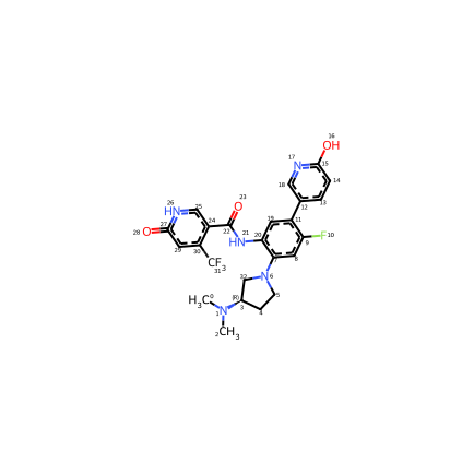 CN(C)[C@@H]1CCN(c2cc(F)c(-c3ccc(O)nc3)cc2NC(=O)c2c[nH]c(=O)cc2C(F)(F)F)C1